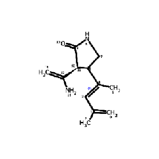 C=C(C)/C=C(\C)C1CNC(=O)[C@@H]1C(=C)N